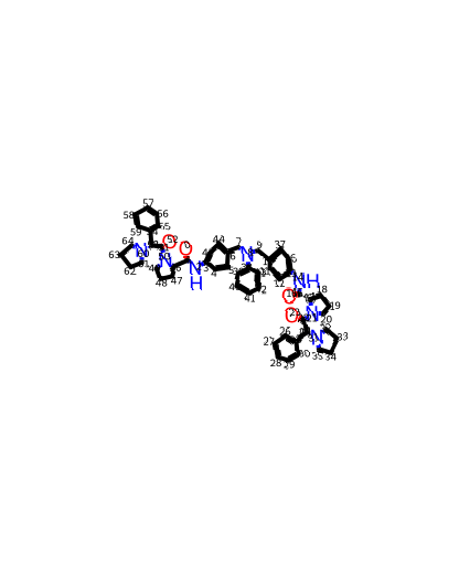 O=C(Nc1ccc(CN(Cc2ccc(NC(=O)[C@@H]3CCCN3C(=O)[C@@H](c3ccccc3)N3CCCC3)cc2)c2ccccc2)cc1)C1CCCN1C(=O)[C@@H](c1ccccc1)N1CCCC1